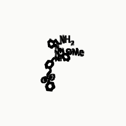 COc1cccc2c(NCc3cccc(/C=C/S(=O)(=O)c4ccccc4)c3)nc(-n3c(CN)cc4ccccc43)nc12